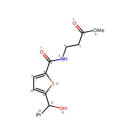 COC(=O)CCNC(=O)c1ccc(C(O)C(C)C)s1